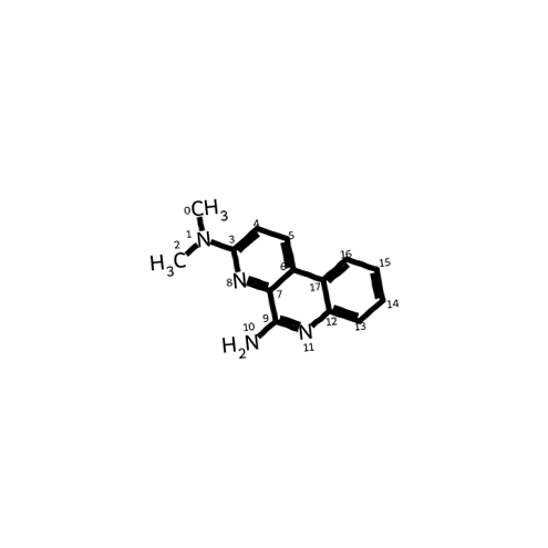 CN(C)c1ccc2c(n1)c(N)nc1ccccc12